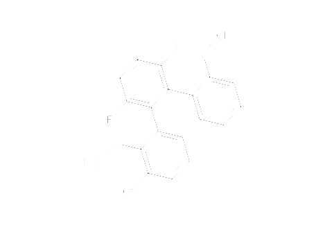 COc1ccccc1-c1c(F)ccc(F)c1-c1cccc(Cl)c1OC